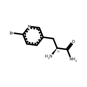 NC(=O)[C@@H](N)Cc1ccc(Br)nc1